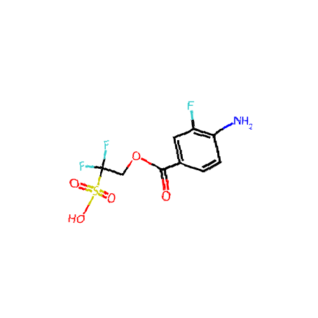 Nc1ccc(C(=O)OCC(F)(F)S(=O)(=O)O)cc1F